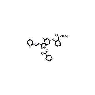 CNC(=O)c1ccccc1Sc1cc(C)c2c(/C=C/c3ccccn3)nn(OC(=O)c3ccccc3)c2c1